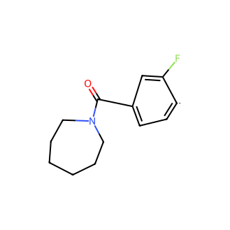 O=C(c1cc[c]c(F)c1)N1CCCCCC1